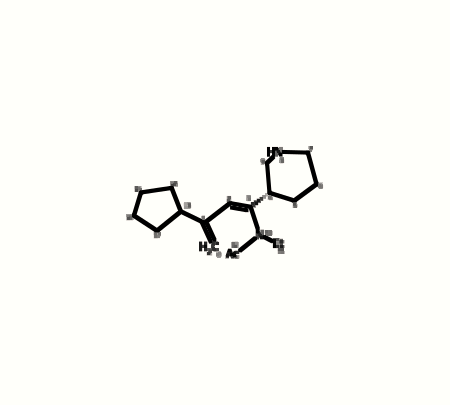 C=C(/C=C(/[C@H]1CCCNC1)N(CC)C(C)=O)C1CCCC1